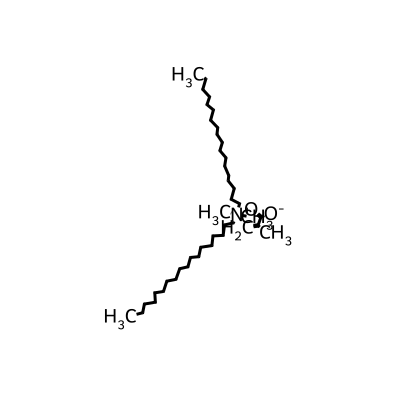 C=C(C)C(=O)[O-].CCCCCCCCCCCCCCCCCC[N+](C)(C)CCCCCCCCCCCCCCCCCC